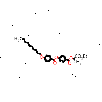 C=CCCCCCCCCOc1ccc(C(=O)Oc2ccc(C(=O)OC(C)C(=O)OCC)cc2)cc1